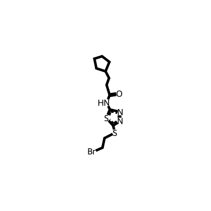 O=C(CCC1CCCC1)Nc1nnc(SCCBr)s1